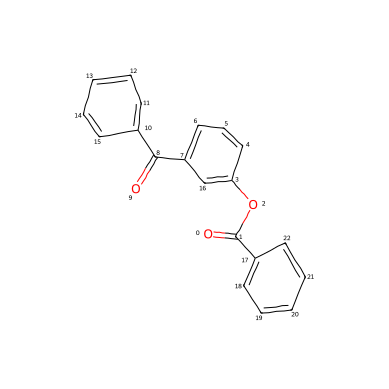 O=C(Oc1cccc(C(=O)c2ccccc2)c1)c1ccccc1